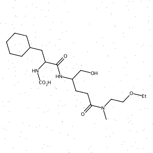 CCOCCN(C)C(=O)CCC(CO)NC(=O)C(CC1CCCCC1)NC(=O)O